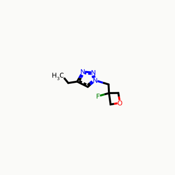 CCc1cn(CC2(F)COC2)nn1